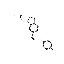 CC[N+](Cc1ccc(F)cc1)=C(N)c1ccc2c(c1)C(NC(=O)OC(C)(C)C)[C@H](O)C2